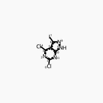 Clc1nc(Cl)c2c(I)n[nH]c2n1